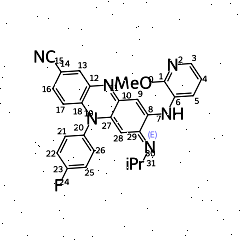 COc1ncccc1Nc1cc2nc3cc(C#N)ccc3n(-c3ccc(F)cc3)c-2c/c1=N\C(C)C